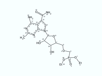 CCOP(=O)(COCC1OC(n2cc(C(N)=O)c3c(N)nc(C)nc32)C(O)C1O)OCC